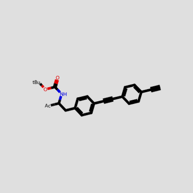 C#Cc1ccc(C#Cc2ccc(CC(NC(=O)OC(C)(C)C)C(C)=O)cc2)cc1